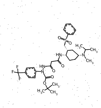 CC(C)N(C)[C@@H]1CC[C@H](NC(=O)CC(=O)NN(C(=O)OC(C)(C)C)c2ccc(C(F)(F)F)cc2)[C@H](CS(=O)(=O)c2ccccc2)C1